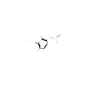 CN(C)Cc1ccc(F)c(C(=O)O)c1F